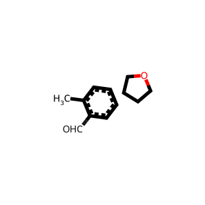 C1CCOC1.Cc1ccccc1C=O